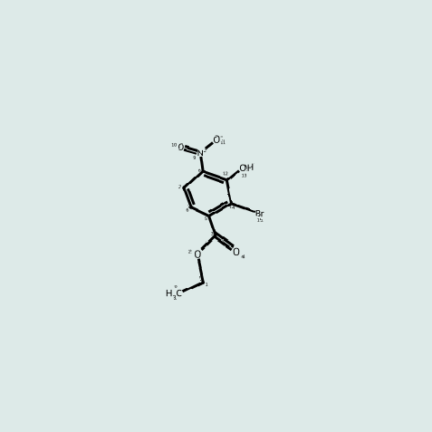 CCOC(=O)c1ccc([N+](=O)[O-])c(O)c1Br